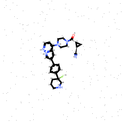 N#C[C@@H]1C[C@H]1C(=O)N1CCN(c2ccnn3cc(-c4ccc([C@@]5(F)CCCNC5)cc4)cc23)CC1